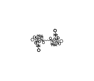 CN[C@@H](C)C(=O)N[C@H](C(=O)N1C[C@@H](NC(=O)CCCCC(=O)N[C@H]2C[C@@H](c3nc(-c4ccccc4)cs3)N(C(=O)[C@@H](NC(=O)[C@H](C)NC)C3CCCCC3)C2)C[C@H]1c1nc(-c2ccccc2)cs1)C1CCCCC1